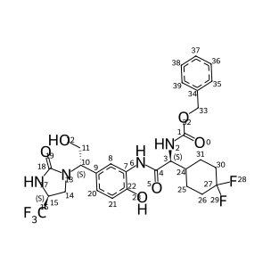 O=C(N[C@H](C(=O)Nc1cc([C@@H](CO)N2C[C@@H](C(F)(F)F)NC2=O)ccc1O)C1CCC(F)(F)CC1)OCc1ccccc1